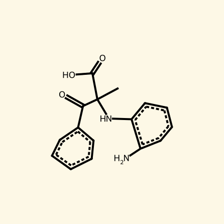 CC(Nc1ccccc1N)(C(=O)O)C(=O)c1ccccc1